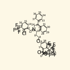 CS(=O)(=O)c1cc(OCCCN(Cc2cccc(C(F)(F)F)c2Cl)CC(c2ccccc2)c2ccccc2)cc(F)c1C(O)(C(F)(F)F)C(F)(F)F